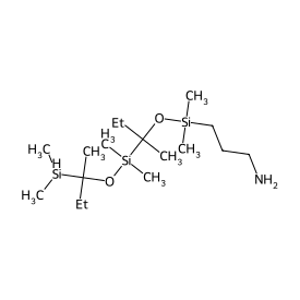 CCC(C)(O[Si](C)(C)C(C)(CC)O[Si](C)(C)CCCN)[SiH](C)C